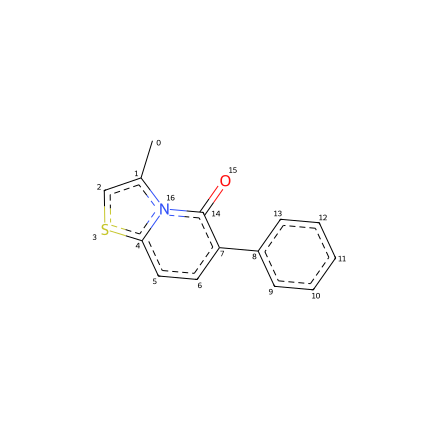 Cc1csc2ccc(-c3ccccc3)c(=O)n12